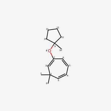 CC1(C)C=CC=CC(OC2(C)CCCC2)=C1